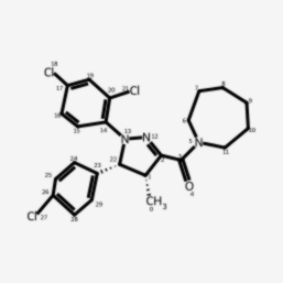 C[C@H]1C(C(=O)N2CCCCCC2)=NN(c2ccc(Cl)cc2Cl)[C@H]1c1ccc(Cl)cc1